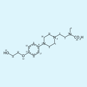 CN(CCN1CCN(c2ccc(OCCO)cc2)CC1)C(=O)O